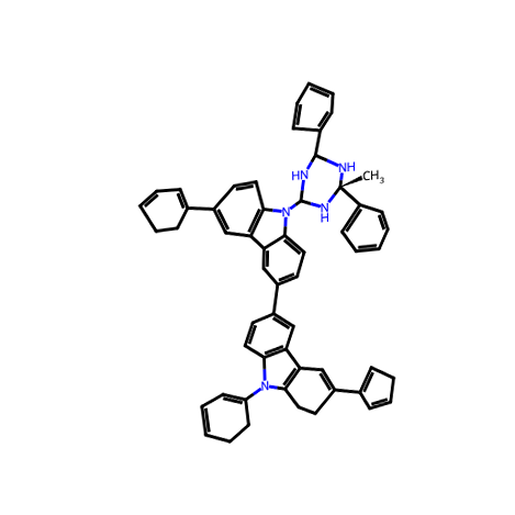 C[C@]1(c2ccccc2)NC(c2ccccc2)NC(n2c3ccc(C4=CC=CCC4)cc3c3cc(-c4ccc5c(c4)c4c(n5C5=CC=CCC5)CCC(C5=CCC=C5)=C4)ccc32)N1